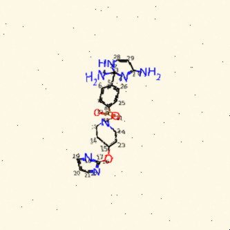 NC1=NC(N)(c2ccc(S(=O)(=O)N3CCC(Oc4ncccn4)CC3)cc2)NC=C1